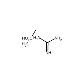 CC(=O)O.N=C(N)N.S